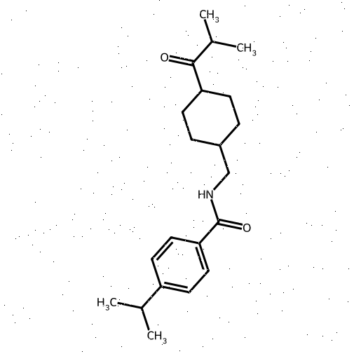 CC(C)C(=O)C1CCC(CNC(=O)c2ccc(C(C)C)cc2)CC1